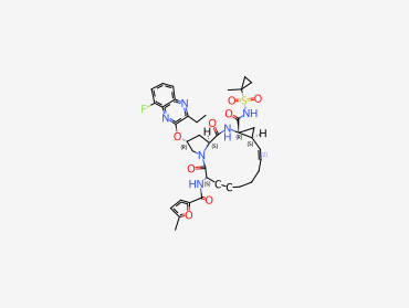 CCc1nc2cccc(F)c2nc1O[C@@H]1C[C@H]2C(=O)N[C@]3(C(=O)NS(=O)(=O)C4(C)CC4)C[C@H]3/C=C\CCCCC[C@H](NC(=O)c3ccc(C)o3)C(=O)N2C1